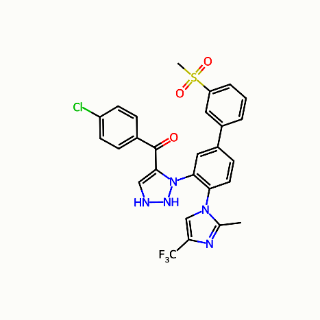 Cc1nc(C(F)(F)F)cn1-c1ccc(-c2cccc(S(C)(=O)=O)c2)cc1N1NNC=C1C(=O)c1ccc(Cl)cc1